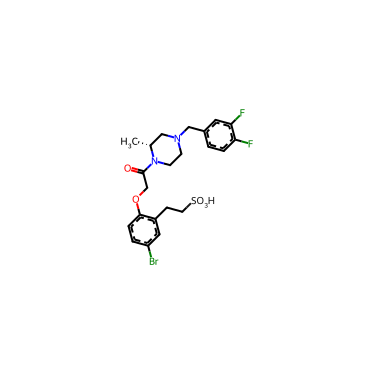 C[C@@H]1CN(Cc2ccc(F)c(F)c2)CCN1C(=O)COc1ccc(Br)cc1CCS(=O)(=O)O